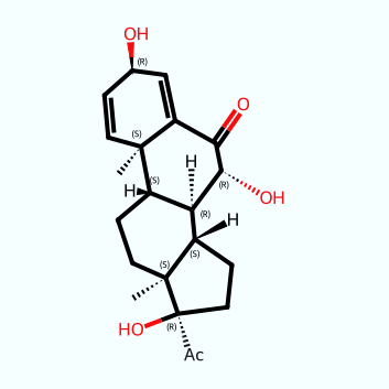 CC(=O)[C@@]1(O)CC[C@H]2[C@@H]3[C@@H](O)C(=O)C4=C[C@H](O)C=C[C@]4(C)[C@H]3CC[C@@]21C